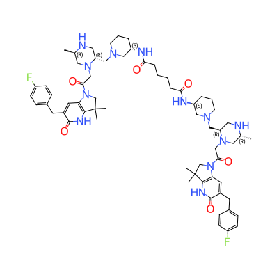 C[C@@H]1CN(CC(=O)N2CC(C)(C)c3[nH]c(=O)c(Cc4ccc(F)cc4)cc32)[C@@H](CN2CCC[C@H](NC(=O)CCCCC(=O)N[C@H]3CCCN(C[C@H]4CN[C@H](C)CN4CC(=O)N4CC(C)(C)c5[nH]c(=O)c(Cc6ccc(F)cc6)cc54)C3)C2)CN1